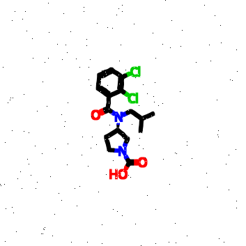 CC(C)CN(C(=O)c1cccc(Cl)c1Cl)[C@H]1CCN(C(=O)O)C1